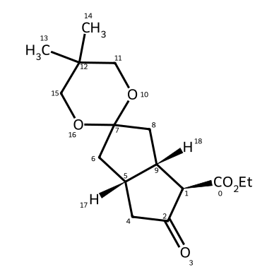 CCOC(=O)[C@H]1C(=O)C[C@@H]2CC3(C[C@@H]21)OCC(C)(C)CO3